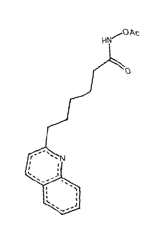 CC(=O)ONC(=O)CCCCCc1ccc2ccccc2n1